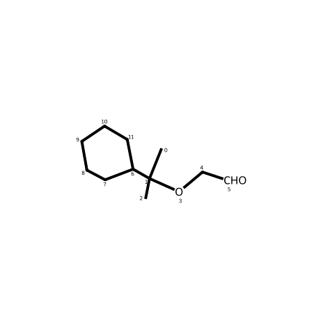 CC(C)(OCC=O)C1CCCCC1